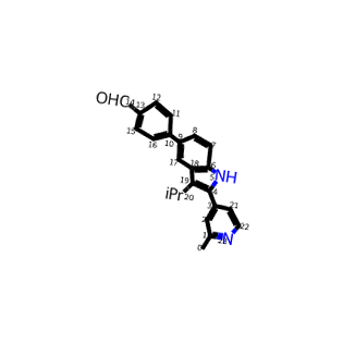 Cc1cc(-c2[nH]c3ccc(-c4ccc(C=O)cc4)cc3c2C(C)C)ccn1